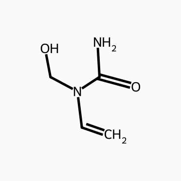 C=CN(CO)C(N)=O